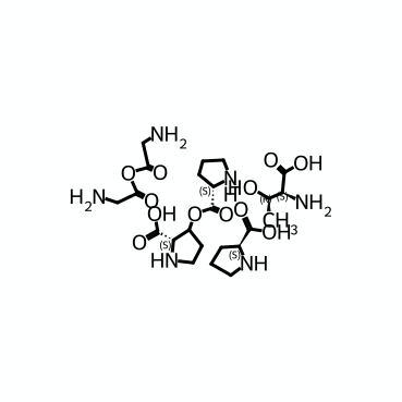 C[C@@H](O)[C@H](N)C(=O)O.NCC(=O)OC(=O)CN.O=C(O)[C@@H]1CCCN1.O=C(OC1CCN[C@@H]1C(=O)O)[C@@H]1CCCN1